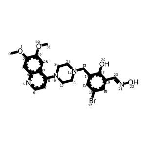 COc1cc2nccc(N3CCN(Cc4cc(Br)cc(C=NO)c4O)CC3)c2cc1OC